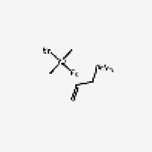 C=CCCCCCCC.CC[N+](C)(C)CC